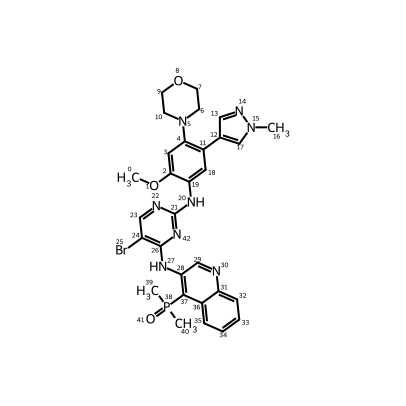 COc1cc(N2CCOCC2)c(-c2cnn(C)c2)cc1Nc1ncc(Br)c(Nc2cnc3ccccc3c2P(C)(C)=O)n1